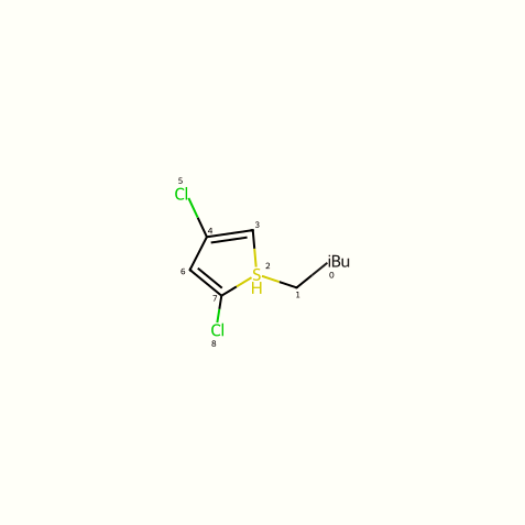 CCC(C)C[SH]1C=C(Cl)C=C1Cl